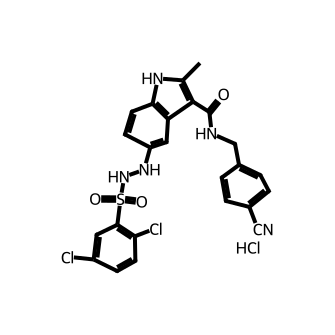 Cc1[nH]c2ccc(NNS(=O)(=O)c3cc(Cl)ccc3Cl)cc2c1C(=O)NCc1ccc(C#N)cc1.Cl